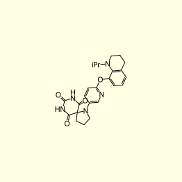 CC(C)N1CCCc2cccc(Oc3ccc(N4CCCC45C(=O)NC(=O)NC5=O)cn3)c21